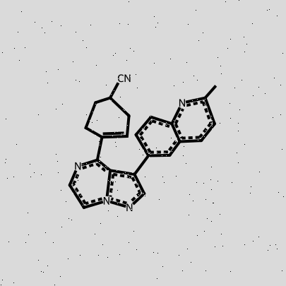 Cc1ccc2cc(-c3cnn4ccnc(C5=CCC(C#N)CC5)c34)ccc2n1